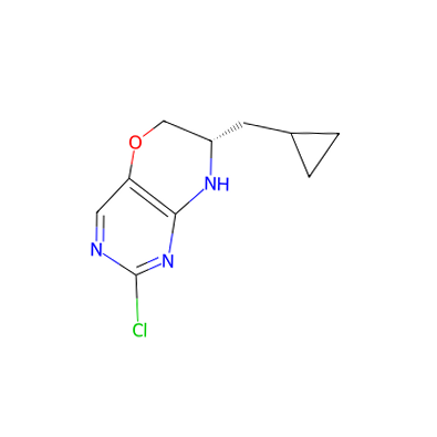 Clc1ncc2c(n1)N[C@@H](CC1CC1)CO2